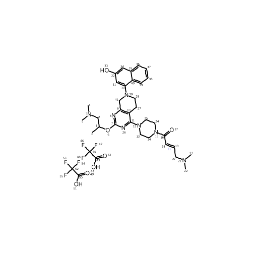 CC(CN(C)C)Oc1nc2c(c(N3CCN(C(=O)/C=C/CN(C)C)CC3)n1)CCN(c1cc(O)cc3ccccc13)C2.O=C(O)C(F)(F)F.O=C(O)C(F)(F)F